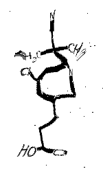 CC(C)(C#N)c1ncc(CCC(=O)O)cc1Cl